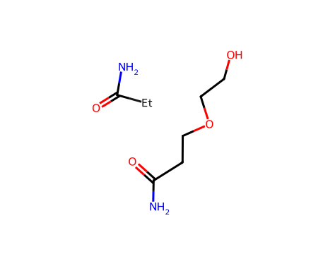 CCC(N)=O.NC(=O)CCOCCO